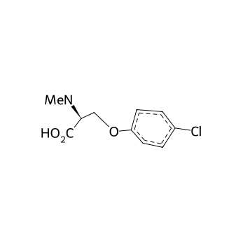 CN[C@@H](COc1ccc(Cl)cc1)C(=O)O